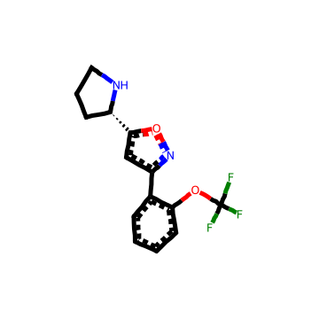 FC(F)(F)Oc1ccccc1-c1cc([C@@H]2CCCN2)on1